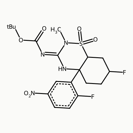 CN1/C(=N\C(=O)OC(C)(C)C)NC2(c3cc([N+](=O)[O-])ccc3F)CCC(F)CC2S1(=O)=O